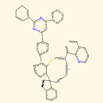 C=Cc1cccnc1C(=C)C1=C/Sc2c(-c3ccc(-c4cc(-c5ccccc5)nc(C5=CCCC=C5)n4)cc3)cccc2C2(\C=C/C=C\1)c1ccccc1-c1ccccc12